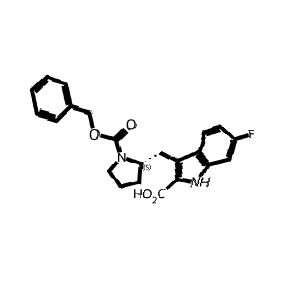 O=C(O)c1[nH]c2cc(F)ccc2c1C[C@@H]1CCCN1C(=O)OCc1ccccc1